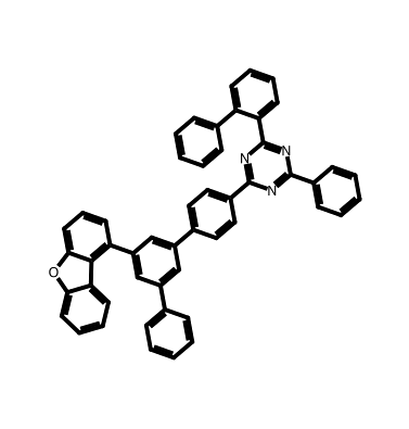 c1ccc(-c2cc(-c3ccc(-c4nc(-c5ccccc5)nc(-c5ccccc5-c5ccccc5)n4)cc3)cc(-c3cccc4oc5ccccc5c34)c2)cc1